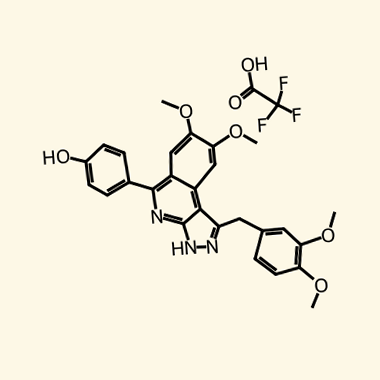 COc1ccc(Cc2n[nH]c3nc(-c4ccc(O)cc4)c4cc(OC)c(OC)cc4c23)cc1OC.O=C(O)C(F)(F)F